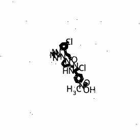 CN(C(=O)O)c1ccc(-c2[nH]c([C@@H]3CCc4nc(-c5cc(Cl)ccc5-n5cnnn5)cc(=O)n43)nc2Cl)cc1